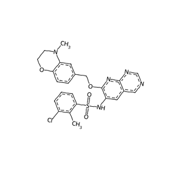 Cc1c(Cl)cccc1S(=O)(=O)Nc1cc2cncnc2nc1OCc1ccc2c(c1)N(C)CCO2